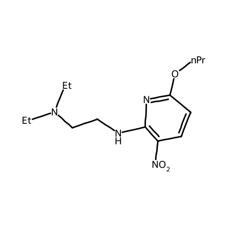 CCCOc1ccc([N+](=O)[O-])c(NCCN(CC)CC)n1